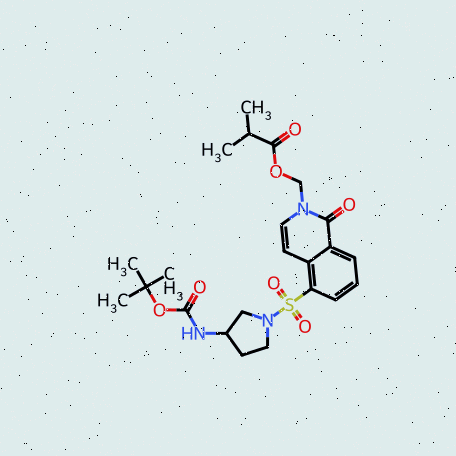 CC(C)C(=O)OCn1ccc2c(S(=O)(=O)N3CCC(NC(=O)OC(C)(C)C)C3)cccc2c1=O